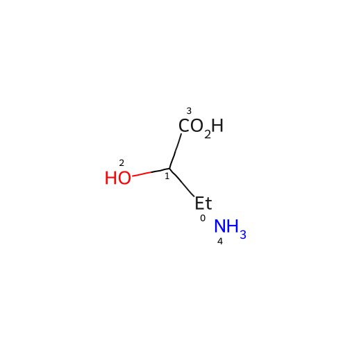 CCC(O)C(=O)O.N